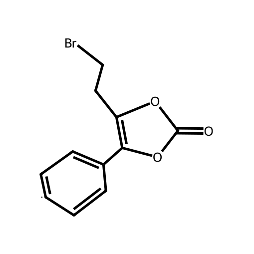 O=c1oc(CCBr)c(-c2cc[c]cc2)o1